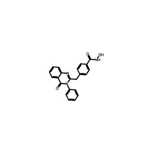 O=C(NO)c1ccc(Cc2nc3ccccc3c(=O)n2-c2ccccc2)cc1